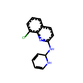 Clc1cccc2ccc(NC3C=CC=CN3)nc12